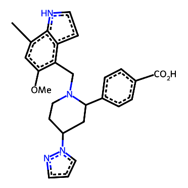 COc1cc(C)c2[nH]ccc2c1CN1CCC(n2cccn2)CC1c1ccc(C(=O)O)cc1